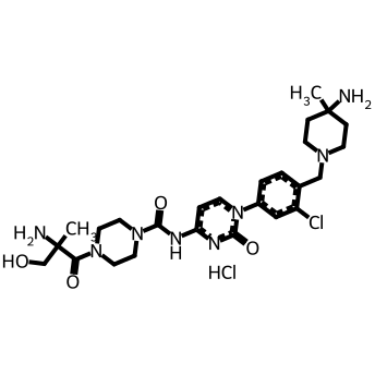 CC1(N)CCN(Cc2ccc(-n3ccc(NC(=O)N4CCN(C(=O)C(C)(N)CO)CC4)nc3=O)cc2Cl)CC1.Cl